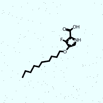 CCCCCCCCCCOc1c[nH]c(C(=O)O)c1F